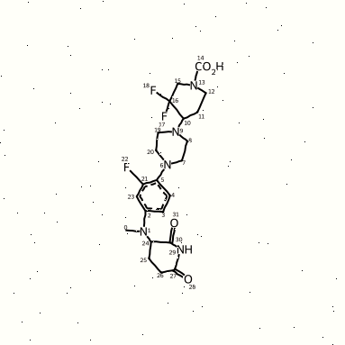 CN(c1ccc(N2CCN(C3CCN(C(=O)O)CC3(F)F)CC2)c(F)c1)C1CCC(=O)NC1=O